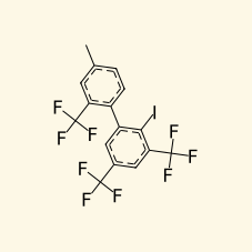 Cc1ccc(-c2cc(C(F)(F)F)cc(C(F)(F)F)c2I)c(C(F)(F)F)c1